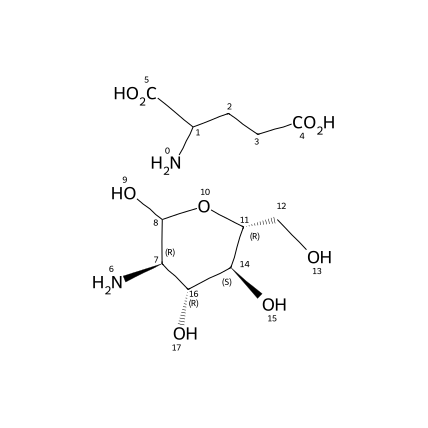 NC(CCC(=O)O)C(=O)O.N[C@H]1C(O)O[C@H](CO)[C@@H](O)[C@@H]1O